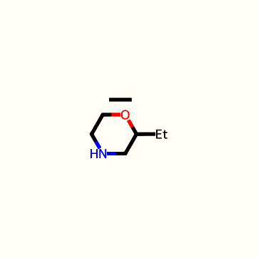 CC.CCC1CNCCO1